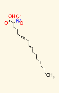 CCCCCCCCC=CCC#CCCCC(C(=O)O)[N+](=O)[O-]